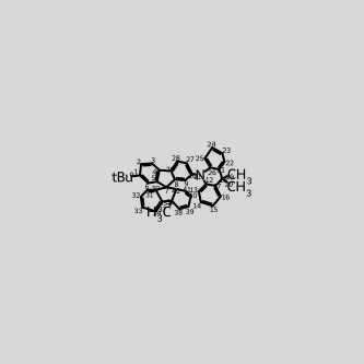 CC(C)(C)c1ccc2c(c1)C1(c3cc(N4c5ccccc5C(C)(C)c5ccccc54)ccc3-2)c2ccccc2C2(C)C=CC=CC21